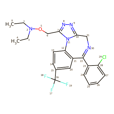 CCN(CC)OCc1nnc2n1-c1ccc(C(F)(F)F)cc1C(c1ccccc1Cl)=NC2